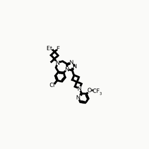 CCC1(F)CC(C)(N2Cc3cc(Cl)ccc3-n3c(nnc3C3CC4(C3)CN(c3ncccc3OC(F)(F)F)C4)C2)C1